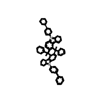 CC1(c2ccccc2)c2ccc3c(c2C(C)(c2ccccc2)c2ccc4c(c21)c1ccccc1n4-c1ccc(-c2ccccc2)cc1)c1ccccc1n3-c1ccc(-c2ccccc2)cc1